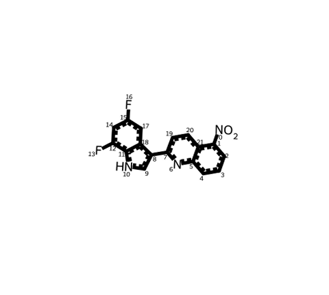 O=[N+]([O-])c1cccc2nc(-c3c[nH]c4c(F)cc(F)cc34)ccc12